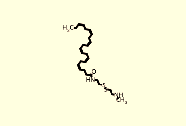 CC/C=C\C/C=C\C/C=C\C/C=C\C/C=C\C/C=C\CCC(=O)NCCSSCCNC